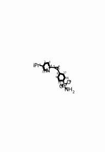 CC(C)c1ccc(C2CC2c2ccc(S(N)(=O)=O)cc2)nc1